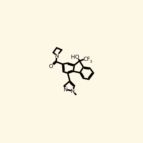 Cn1cc(-c2cc(C(=O)N3CCC3)cc3c2-c2ccccc2C3(O)C(F)(F)F)cn1